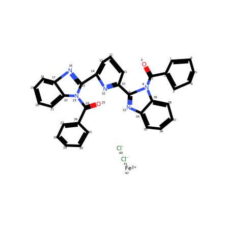 O=C(c1ccccc1)n1c(-c2cccc(-c3nc4ccccc4n3C(=O)c3ccccc3)n2)nc2ccccc21.[Cl-].[Cl-].[Fe+2]